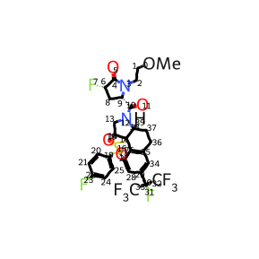 COCCN1C(=O)[C@@H](F)C[C@H]1C(=O)N1CC[C@@]2(S(=O)(=O)c3ccc(F)cc3)c3ccc(C(F)(C(F)(F)F)C(F)(F)F)cc3CC[C@@H]12